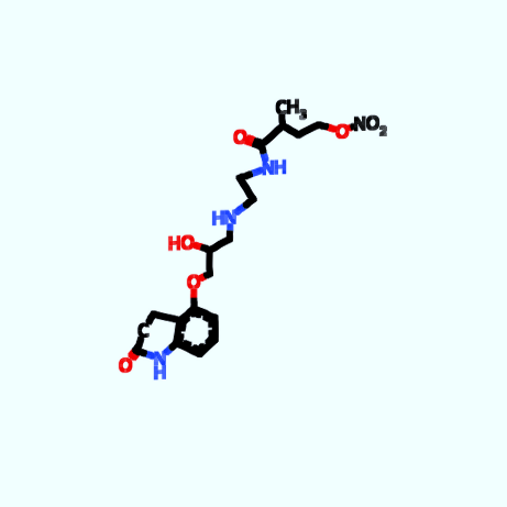 CC(CCO[N+](=O)[O-])C(=O)NCCNCC(O)COc1cccc2c1CCC(=O)N2